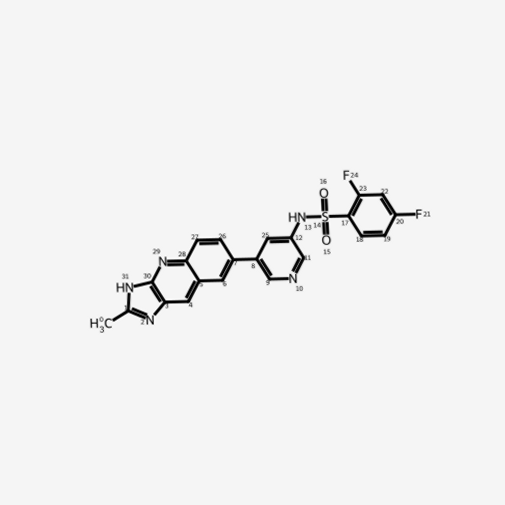 Cc1nc2cc3cc(-c4cncc(NS(=O)(=O)c5ccc(F)cc5F)c4)ccc3nc2[nH]1